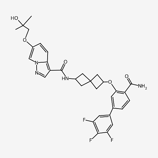 CC(C)(O)COc1ccc2c(C(=O)NC3CC4(C3)CC(Oc3cc(-c5cc(F)c(F)c(F)c5)ccc3C(N)=O)C4)cnn2c1